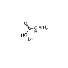 O=[Si](O)O.[La].[SrH2]